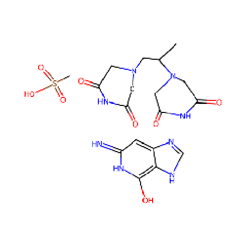 CC(CN1CC(=O)NC(=O)C1)N1CC(=O)NC(=O)C1.CS(=O)(=O)O.N=c1cc2nc[nH]c2c(O)[nH]1